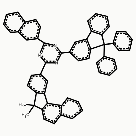 CC1(C)c2ccc(-c3nc(-c4ccc5c(c4)-c4ccccc4C5(c4ccccc4)c4ccccc4)nc(-c4ccc5ccccc5c4)n3)cc2-c2c1ccc1ccccc21